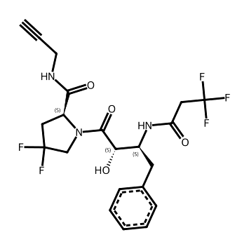 C#CCNC(=O)[C@@H]1CC(F)(F)CN1C(=O)[C@@H](O)[C@H](Cc1ccccc1)NC(=O)CC(F)(F)F